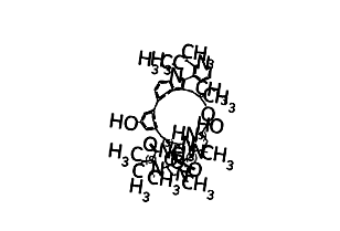 CCn1c(-c2cccnc2C(C)C)c2c3cc(ccc31)-c1cc(O)cc(c1)C[C@H](NC(=O)[C@H](C(C)C)N(C)C(=O)CN(C)S(=O)(=O)[C@H]1CN1C)C(=O)N1CCC[C@H](N1)C(=O)OCC(C)(C)C2